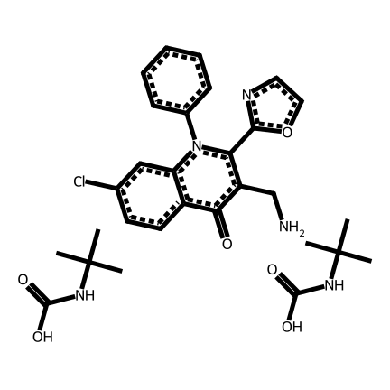 CC(C)(C)NC(=O)O.CC(C)(C)NC(=O)O.NCc1c(-c2ncco2)n(-c2ccccc2)c2cc(Cl)ccc2c1=O